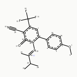 COc1ccc(-c2cc(C(F)(F)F)c(C#N)c(=O)n2/N=C(\C)C(C)C)cc1